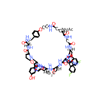 CC(=O)N[C@@H]1CCC(=O)NCCOc2ccc(cc2)C[C@@H](C(N)=O)NC(=O)[C@]2(C)CCCN2C(=O)[C@H](Cc2ccc(O)cc2)NC(=O)[C@H](Cc2cnc[nH]2)NC(=O)[C@H](CC(=O)O)NC(=O)[C@H](Cc2c[nH]c3ccc(F)cc23)NC(=O)[C@H](Cc2c[nH]c3ccc(F)cc23)NC(=O)CNC1=O